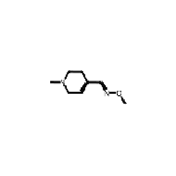 CON=CC1=CCN(C)CC1